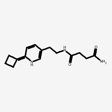 NC(=O)CCC(=O)NCCC1=CNC(=C2CCC2)C=C1